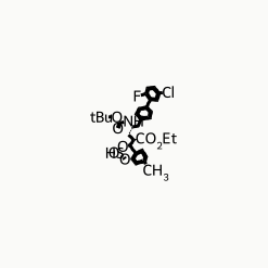 CCOC(=O)[C@@H](C[C@@H](Cc1ccc(-c2cc(Cl)ccc2F)cc1)NC(=O)OC(C)(C)C)C(O[SH](=O)=O)c1ccc(C)cc1